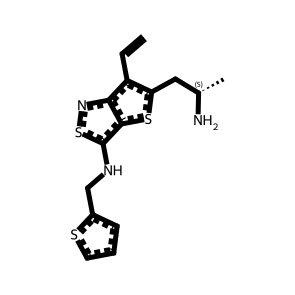 C=Cc1c(C[C@H](C)N)sc2c(NCc3cccs3)snc12